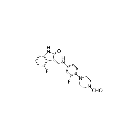 O=CN1CCN(c2ccc(NC=C3C(=O)Nc4cccc(F)c43)cc2F)CC1